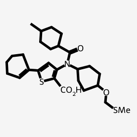 CSCOC1CCC(N(C(=O)C2CCC(C)CC2)c2cc(C3=CCCCC3)sc2C(=O)O)CC1